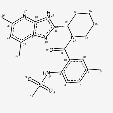 Cc1ccc(NS(C)(=O)=O)c(C(=O)N2CCCC[C@H]2c2nc3c(C)cc(C)nc3[nH]2)c1